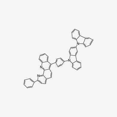 c1ccc(-c2ccc3ccc4c(-c5ccc(-n6c7ccccc7c7cc(-n8c9ccccc9c9ccccc98)ccc76)cc5)c5ccccc5nc4c3n2)cc1